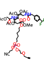 C#CCOCCOP(=O)(OCCC#N)OCCCCCCO[C@]1(C(=O)OC)C[C@H](OC(C)=O)[C@@H](NC(=O)COC(C)=O)[C@H]([C@H](OC(C)=O)[C@@H](CNC(=O)Cc2ccc(C(F)F)cc2)OC(C)=O)O1